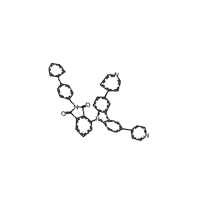 O=C1c2cccc(-n3c4ccc(-c5ccncc5)cc4c4cc(-c5ccncc5)ccc43)c2C(=O)N1c1ccc(-c2ccccc2)cc1